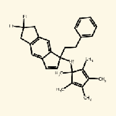 CCC1(CC)Cc2cc3c(cc2C1)[C](CCc1ccccc1)([Hf][C]1(C)C(C)=C(C)C(C)=C1C)C=C3